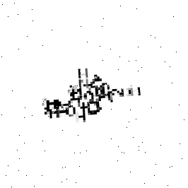 [2H]C([2H])([2H])NC(=O)c1nnc(NC(=O)C2CC2)cc1Nc1cccc(-c2noc(CCO)n2)c1OC